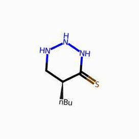 CCCC[C@H]1CNNNC1=S